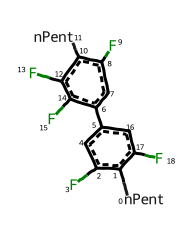 CCCCCc1c(F)cc(-c2cc(F)c(CCCCC)c(F)c2F)cc1F